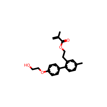 C=C(C)C(=O)OCCc1cc(C)ccc1-c1ccc(OCCO)cc1